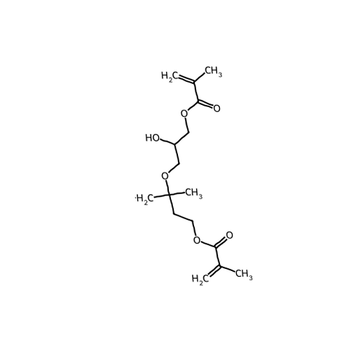 [CH2]C(C)(CCOC(=O)C(=C)C)OCC(O)COC(=O)C(=C)C